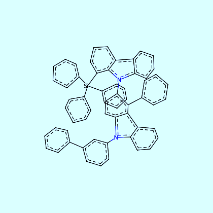 c1ccc(-c2cccc(-n3c4ccccc4c4c(-c5ccccc5)c(-n5c6ccccc6c6cccc([Si](c7ccccc7)(c7ccccc7)c7ccccc7)c65)ccc43)c2)cc1